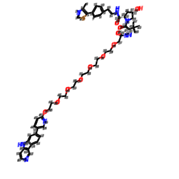 Cc1ncsc1-c1ccc(CCNC(=O)[C@@H]2C[C@H](O)CN2C(=O)[C@@H](NC(=O)COCCOCCOCCOCCOCCOCCOc2ccc(-c3ccc4c(c3)[nH]c3ccncc34)cn2)C(C)(C)C)cc1